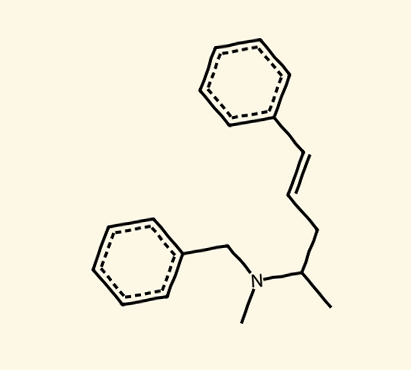 CC(C/C=C/c1ccccc1)N(C)Cc1ccccc1